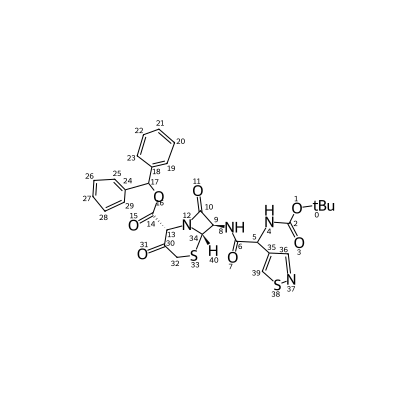 CC(C)(C)OC(=O)NC(C(=O)N[C@@H]1C(=O)N2[C@@H](C(=O)OC(c3ccccc3)c3ccccc3)C(=O)CS[C@@H]12)c1cnsc1